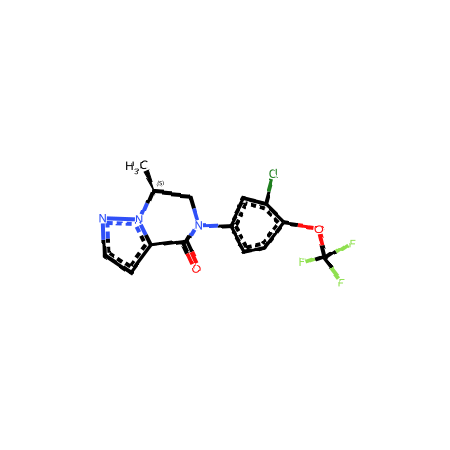 C[C@H]1CN(c2ccc(OC(F)(F)F)c(Cl)c2)C(=O)c2ccnn21